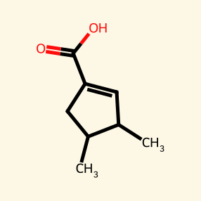 CC1C=C(C(=O)O)CC1C